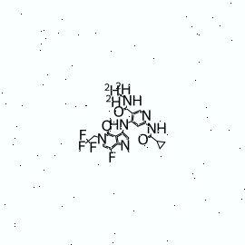 [2H]C([2H])([2H])NC(=O)c1cnc(NC(=O)C2CC2)cc1Nc1cn(C)c2c(F)cn(CC(F)(F)F)c(=O)c12